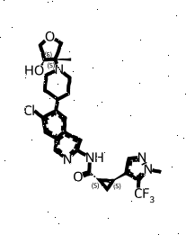 Cn1ncc([C@H]2C[C@@H]2C(=O)Nc2cc3cc(C4CCN([C@@]5(C)COC[C@H]5O)CC4)c(Cl)cc3cn2)c1C(F)(F)F